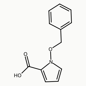 O=C(O)c1cccn1OCc1ccccc1